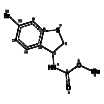 CC(C)(C)OC(=O)NC1CSc2cc(Br)ccc21